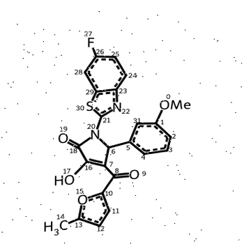 COc1cccc(C2C(C(=O)c3ccc(C)o3)=C(O)C(=O)N2c2nc3ccc(F)cc3s2)c1